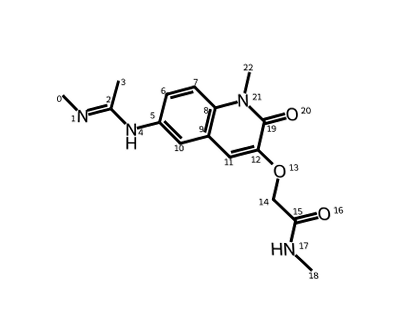 C/N=C(\C)Nc1ccc2c(c1)cc(OCC(=O)NC)c(=O)n2C